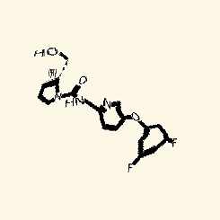 O=C(Nc1ccc(Oc2cc(F)cc(F)c2)cn1)N1CCC[C@@H]1CO